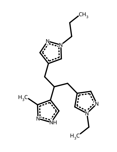 CCCn1cc(C[C](Cc2cnn(CC)c2)c2c[nH]nc2C)cn1